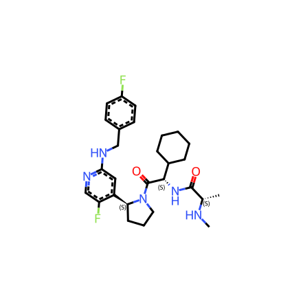 CN[C@@H](C)C(=O)N[C@H](C(=O)N1CCC[C@H]1c1cc(NCc2ccc(F)cc2)ncc1F)C1CCCCC1